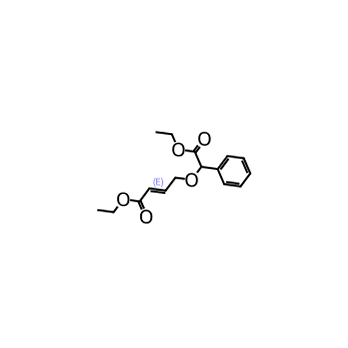 CCOC(=O)/C=C/COC(C(=O)OCC)c1ccccc1